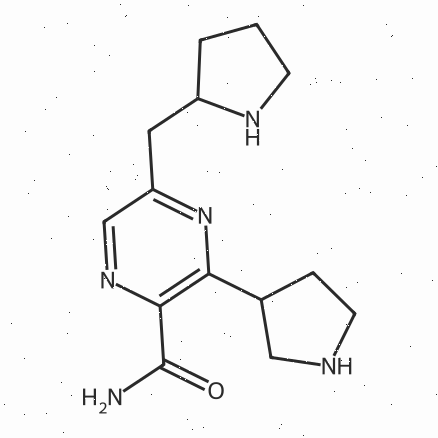 NC(=O)c1ncc(CC2CCCN2)nc1C1CCNC1